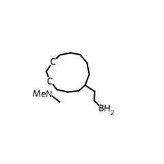 BCCC1CCCCCCCCCCC1.CNC